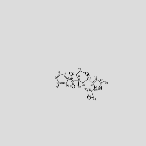 Cc1cccc(S(=O)(=O)[C@]2(C)CCO[C@H](c3cc(C)nn3C3COC3)C2)c1